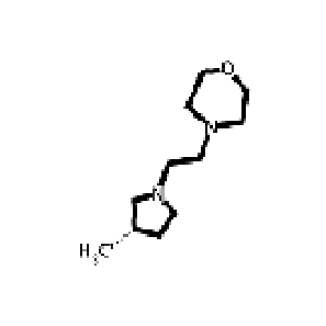 C[C@H]1CCN(CCN2CCOCC2)C1